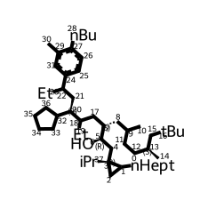 CCCCCCCC1C[C@@]1(C[C@@H](O)[C@@H](CC(C)CC[C@H](C)CC(C)(C)C)CC(CC)[C@H](CC(CC)c1ccc(CCCC)c(C)c1)C1CCCC1)C(C)C